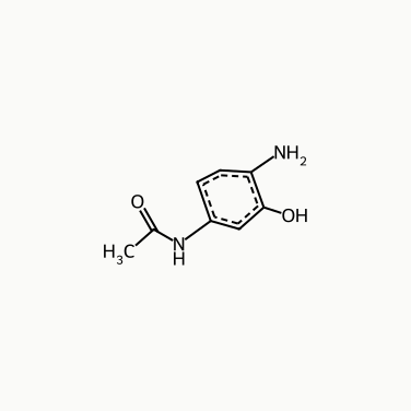 CC(=O)Nc1ccc(N)c(O)c1